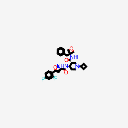 O=C(N[C@@H]1CCN(C2CCC2)C[C@H]1C(=O)NC1(Cc2ccccc2)COC1)c1cc(-c2ccc(F)cc2F)on1